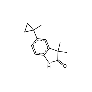 CC1(c2ccc3c(c2)C(C)(C)C(=O)N3)CC1